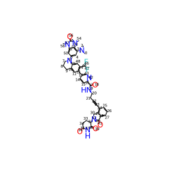 CN(C)c1cc(N2CCCc3cc(-c4ccc(C(=O)NCCC#Cc5cccc6c5CN(C5CCC(=O)NC5=O)C6=O)nc4)c(C(F)F)cc32)cc2c1n(C)c(=O)n2C